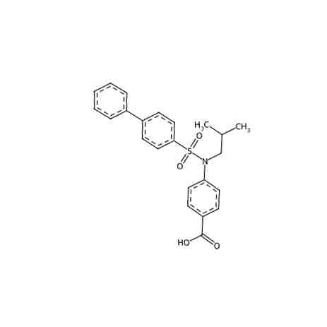 CC(C)CN(c1ccc(C(=O)O)cc1)S(=O)(=O)c1ccc(-c2ccccc2)cc1